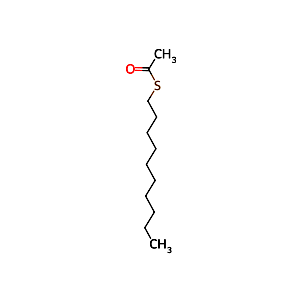 CCCCCCCCCCSC(C)=O